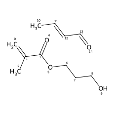 C=C(C)C(=O)OCCCO.CC=C[C]=O